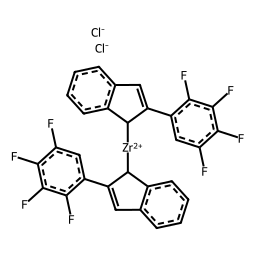 Fc1cc(C2=Cc3ccccc3[CH]2[Zr+2][CH]2C(c3cc(F)c(F)c(F)c3F)=Cc3ccccc32)c(F)c(F)c1F.[Cl-].[Cl-]